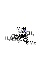 CN/C=C(\C=N)C(C)C(=O)NC(C(=O)Nc1ccc([Si](C)(C)C)cc1)c1ccc(OC)cc1